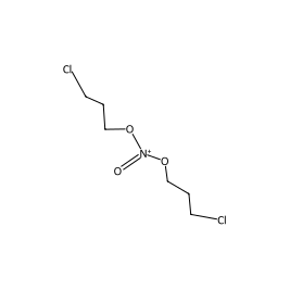 O=[N+](OCCCCl)OCCCCl